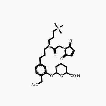 CC(=O)OCc1ccc(CCCN(CCC[N+](C)(C)C)C(=O)CN2C(=O)C=CC2=O)cc1OC1CCCC(C(=O)O)O1